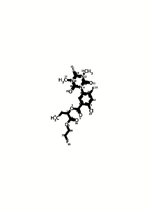 CCC(OC(=O)c1cc(-n2c(=O)n(C)c(=S)n(C)c2=O)c(F)cc1Cl)C(=O)OCCF